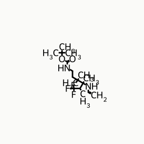 C=CNC(C)(C(C)C(F)(F)F)C(C)(C)CCNC(=O)OC(C)(C)C